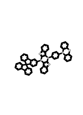 c1ccc2c(c1)Oc1ccccc1N2c1ccc(B2c3oc4ccccc4c3B(c3ccc4c(c3)-c3ccccc3C43c4ccccc4-c4ccccc43)c3oc4ccccc4c32)cc1